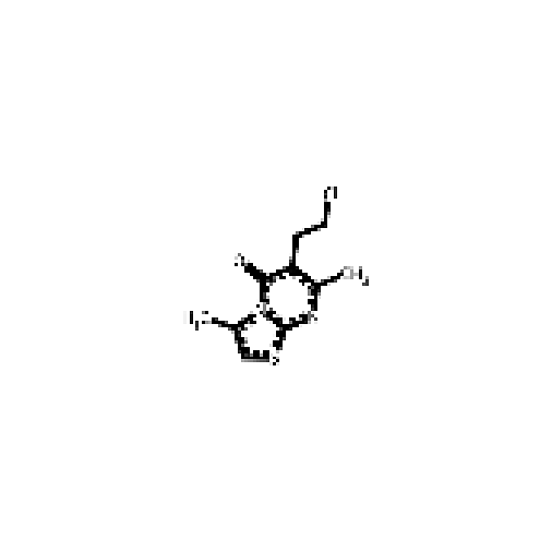 Cc1nc2scc(C)n2c(=O)c1CCCl